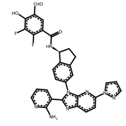 Nc1ncccc1-c1nc2ccc(-n3cccn3)nc2n1-c1ccc2c(c1)CC[C@@H]2NC(=O)c1cc(C=O)c(O)c(F)c1F